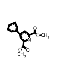 COC(=O)c1cc(-c2ccccc2)cc(C(=O)OC)n1